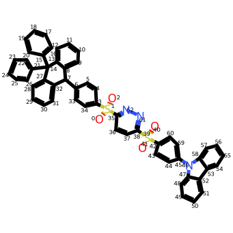 O=S(=O)(c1ccc(C2c3ccccc3C(c3ccccc3)(c3ccccc3)c3ccccc32)cc1)c1ccc(S(=O)(=O)c2ccc(-n3c4ccccc4c4ccccc43)cc2)nn1